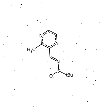 Cc1nccnc1C=N[S+]([O-])C(C)(C)C